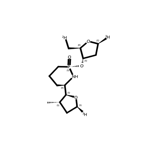 [2H]C[C@H]1O[C@@H]([3H])C[C@@H]1O[P@@]1(=O)CCC[C@H]([C@H]2O[C@@H]([3H])C[C@@H]2C)N1